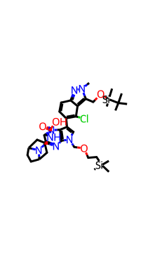 Cn1nc2ccc(-c3cn(COCC[Si](C)(C)C)c4nc(N5C6CCC5CC(NC(=O)O)C6)cnc34)c(Cl)c2c1CO[Si](C)(C)C(C)(C)C